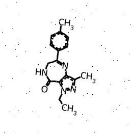 CCn1nc(C)c2c1C(=O)NCC(c1ccc(C)cc1)=N2